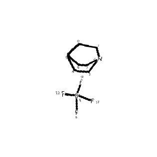 C1CN2CCC1CC2.F[B-](F)(F)F